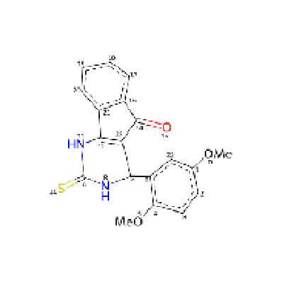 COc1ccc(OC)c(C2NC(=S)NC3=C2C(=O)c2ccccc23)c1